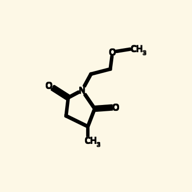 COCCN1C(=O)CC(C)C1=O